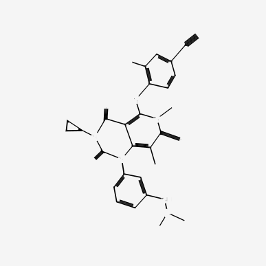 C#Cc1ccc(Nc2c3c(=O)n(C4CC4)c(=O)n(-c4cccc(N[S+](C)[O-])c4)c3c(C)c(=O)n2C)c(F)c1